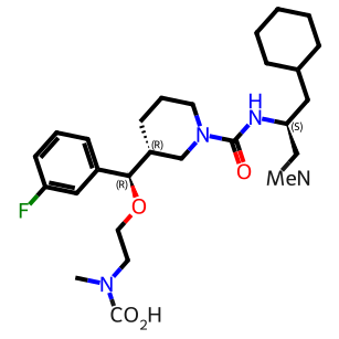 CNC[C@H](CC1CCCCC1)NC(=O)N1CCC[C@@H]([C@@H](OCCN(C)C(=O)O)c2cccc(F)c2)C1